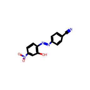 N#Cc1ccc(/N=N/c2ccc([N+](=O)[O-])cc2O)cc1